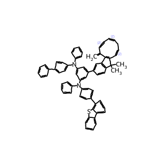 C=C1/C=C\C=C/C/C=C\C2=C1c1cc(-c3cc(N(c4ccccc4)c4ccc(-c5ccccc5)cc4)cc(N(c4ccccc4)c4ccc(-c5cccc6c5sc5ccccc56)cc4)c3)ccc1C2(C)C